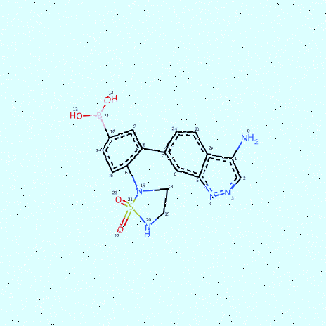 Nc1cnnc2cc(-c3cc(B(O)O)ccc3N3CCNS3(=O)=O)ccc12